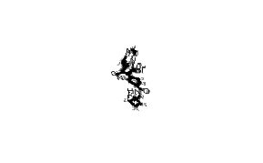 NC(=O)c1c(-c2ccc(C(=O)NCC3(F)CCC3)cc2)c(Br)n2ccncc12